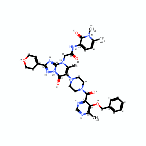 CCc1c(N2CCN(C(=O)c3ncnc(C)c3OCc3ccccc3)CC2)c(=O)n2nc(C3=CCOCC3)nc2n1CC(=O)Nc1ccc(C(F)(F)F)n(C)c1=O